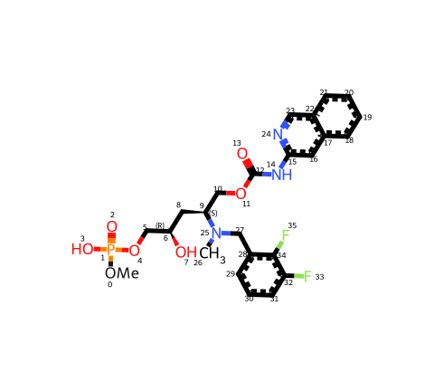 COP(=O)(O)OC[C@H](O)C[C@@H](COC(=O)Nc1cc2ccccc2cn1)N(C)Cc1cccc(F)c1F